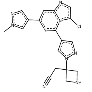 Cn1cc(-c2cc3ncc(Cl)n3c(-c3cnn(C4(CC#N)CNC4)c3)n2)cn1